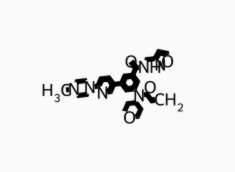 C=CC(=O)N(c1cc(C(=O)NCc2ccon2)cc(-c2ccc(N3CCN(C)CC3)nc2)c1)C1CCOCC1